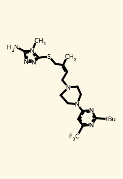 CC(=CCN1CCN(c2cc(C(F)(F)F)nc(C(C)(C)C)n2)CC1)CSc1nnc(N)n1C